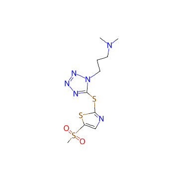 CN(C)CCCn1nnnc1Sc1ncc(S(C)(=O)=O)s1